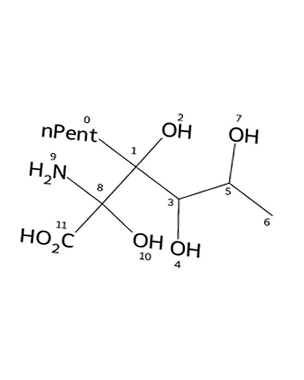 CCCCCC(O)(C(O)C(C)O)C(N)(O)C(=O)O